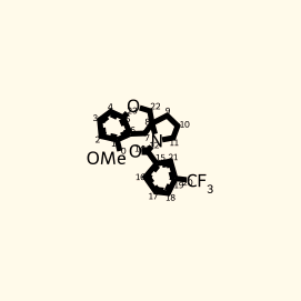 COc1cccc2c1CC1(CCCN1C(=O)c1cccc(C(F)(F)F)c1)CO2